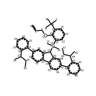 C=CCOc1c(C(C)(C)C)cccc1[Si](C)(C)C1c2cc(-c3ccccc3C(C)CC)ccc2-c2ccc(-c3ccccc3C(C)CC)cc21